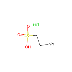 CCCCCS(=O)(=O)O.Cl